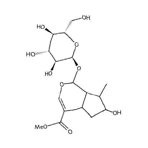 COC(=O)C1=COC(O[C@@H]2O[C@@H](CO)[C@H](O)[C@@H](O)[C@@H]2O)C2C1CC(O)C2C